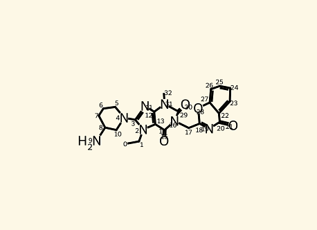 CCn1c(N2CCCC(N)C2)nc2c1c(=O)n(Cc1nc(=O)c3ccccc3o1)c(=O)n2C